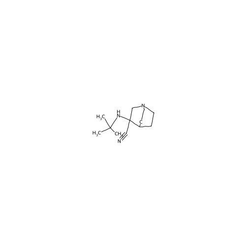 CC(C)(C)NC1(C#N)CN2CCC1CC2